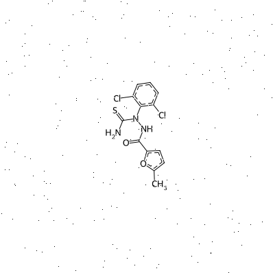 Cc1ccc(C(=O)NN(C(N)=S)c2c(Cl)cccc2Cl)o1